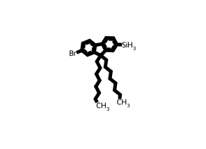 CCCCCCCCC1(CCCCCCCC)c2cc([SiH3])ccc2-c2ccc(Br)cc21